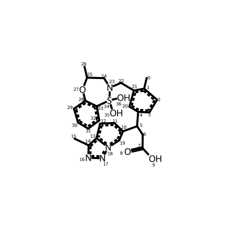 Cc1ccc(C(CC(=O)O)c2ccc3c(C)nnn3c2)cc1CN1CC(C)Oc2ccccc2S1(O)O